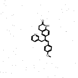 COc1ccc(C=C(Cc2cccnc2)c2ccc3c(c2)CCC(=O)N3)cc1